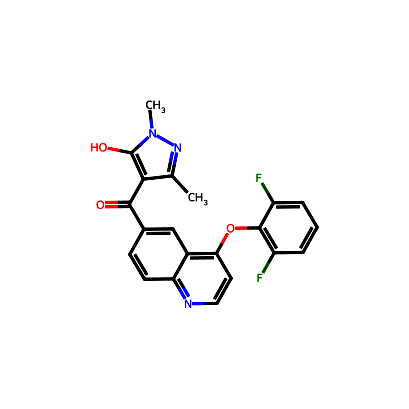 Cc1nn(C)c(O)c1C(=O)c1ccc2nccc(Oc3c(F)cccc3F)c2c1